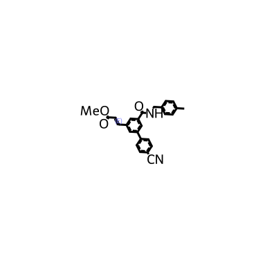 COC(=O)/C=C/c1cc(C(=O)NCc2ccc(C)cc2)cc(-c2ccc(C#N)cc2)c1